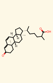 CC(CCCC(C)[C@H]1CC[C@H]2[C@@H]3C=CC4=CC(=O)CC[C@]4(C)[C@H]3CC[C@]12C)C(=O)O